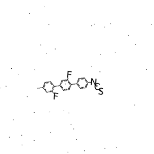 Cc1ccc(-c2ccc(-c3ccc(N=C=S)cc3)c(F)c2)c(F)c1